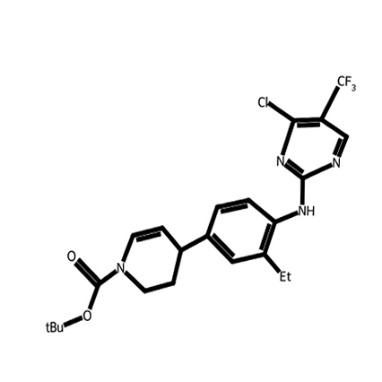 CCc1cc(C2C=CN(C(=O)OC(C)(C)C)CC2)ccc1Nc1ncc(C(F)(F)F)c(Cl)n1